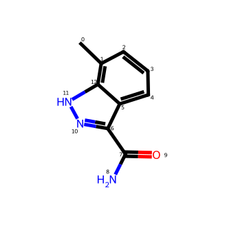 Cc1cccc2c(C(N)=O)n[nH]c12